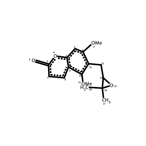 COc1cc2oc(=O)ccc2c(OC)c1CC1OC1(C)C